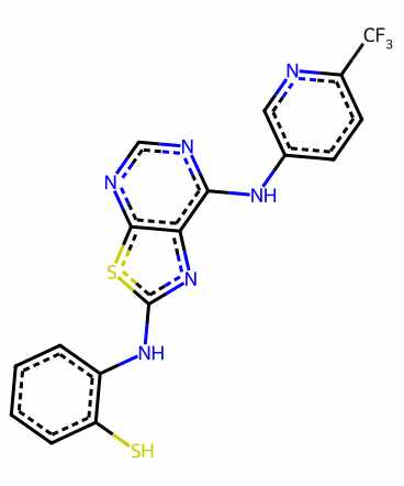 FC(F)(F)c1ccc(Nc2ncnc3sc(Nc4ccccc4S)nc23)cn1